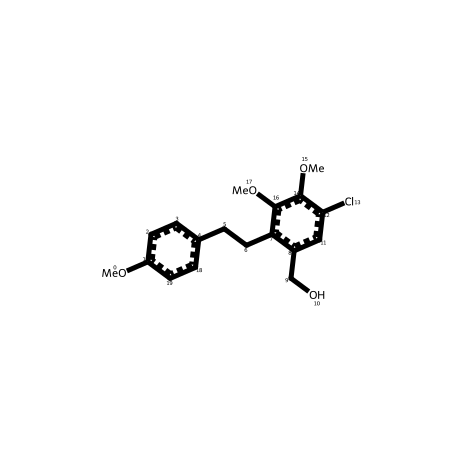 COc1ccc(CCc2c(CO)cc(Cl)c(OC)c2OC)cc1